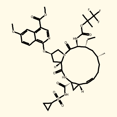 CC[C@@H]1C[C@H](C)CCC=C[C@@H]2C[C@@]2(C(=O)NS(=O)(=O)C2CC2)NC(=O)[C@@H]2C[C@@H](Oc3ncc(C(=O)OC)c4cc(OC)ccc34)CN2C(=O)[C@H]1NC(=O)OC(C)(C)C(F)(F)F